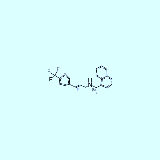 C[C@@H](NC/C=C/c1ccc(C(F)(F)F)cc1)c1cccc2ccccc12